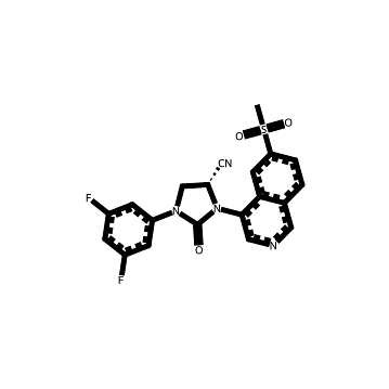 CS(=O)(=O)c1ccc2cncc(N3C(=O)N(c4cc(F)cc(F)c4)C[C@@H]3C#N)c2c1